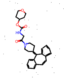 O=C(NCC(=O)N1CCC(=C2c3ccccc3C=Cc3ccccc32)CC1)OC1CCOCC1